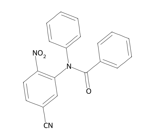 N#Cc1ccc([N+](=O)[O-])c(N(C(=O)c2ccccc2)c2ccccc2)c1